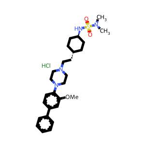 COc1cc(-c2ccccc2)ccc1N1CCN(CC[C@H]2CC[C@H](NS(=O)(=O)N(C)C)CC2)CC1.Cl